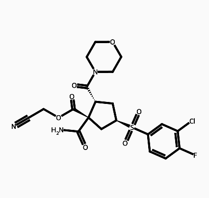 N#CCOC(=O)[C@]1(C(N)=O)C[C@H](S(=O)(=O)c2ccc(F)c(Cl)c2)C[C@H]1C(=O)N1CCOCC1